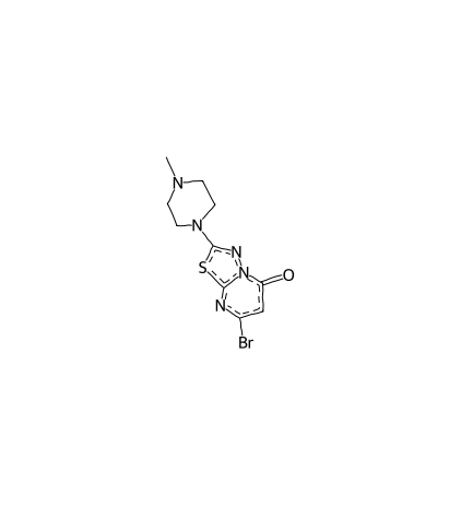 CN1CCN(c2nn3c(=O)cc(Br)nc3s2)CC1